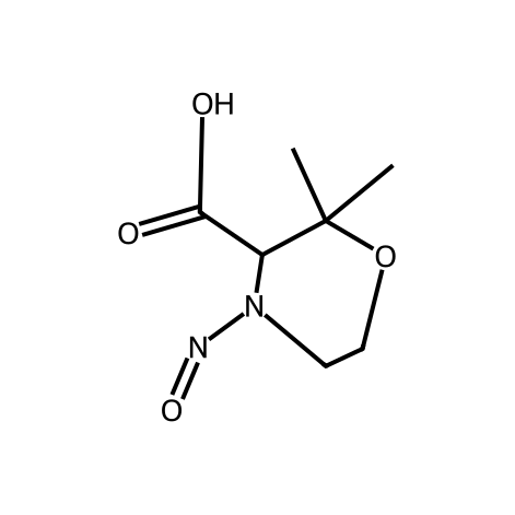 CC1(C)OCCN(N=O)C1C(=O)O